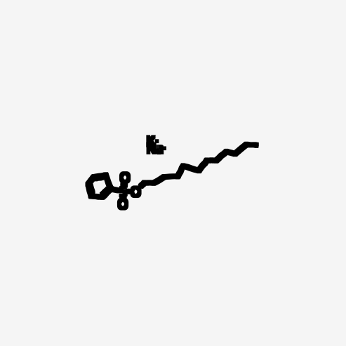 CCCCCCCCCCCCOS(=O)(=O)c1ccccc1.[K].[Na]